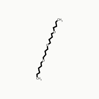 CCCCCCOCCCCOCCCCOCCCC